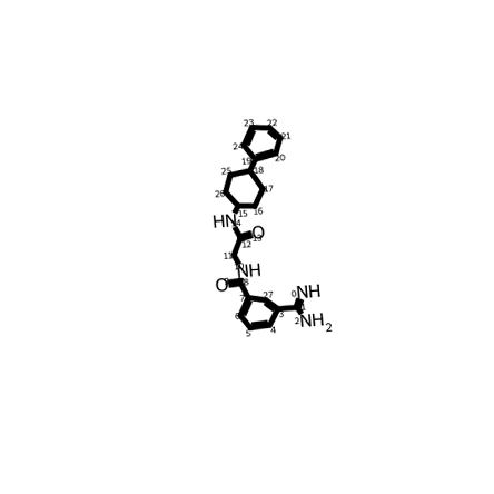 N=C(N)c1cccc(C(=O)NCC(=O)NC2CCC(c3ccccc3)CC2)c1